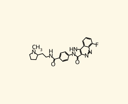 CN1CCCC1CCNC(=O)c1ccc(-n2[nH]c3c(nnc4c(F)cccc43)c2=O)cc1